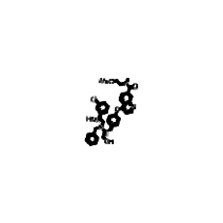 COCCN(C)C(=O)c1ccc2c(Oc3ccc(C[C@@H](CO)N(Cc4ccccc4)C[C@H](O)c4cccc(Cl)c4)cc3)ccnc2c1